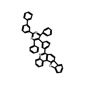 c1ccc(-c2cccc(-c3nc(-c4ccccc4)c(-c4cccc(-c5nc6ccccc6c6c5ccc5c7ccccc7oc56)c4)c(-c4ccccc4)n3)c2)cc1